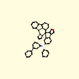 C1=CC2C3c4ccccc4-c4cccc(c43)C3(c4ccccc4-c4ccc(N(c5ccccc5)c5cccc(-c6ccccc6)c5)cc43)C2C=C1